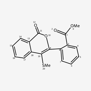 COC(=O)c1ccccc1-c1oc(=O)c2ccccc2c1SC